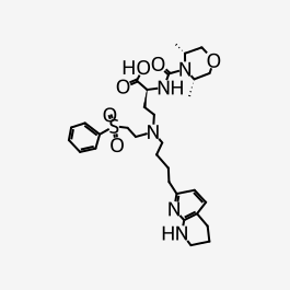 C[C@@H]1COC[C@H](C)N1C(=O)N[C@@H](CCN(CCCCc1ccc2c(n1)NCCC2)CCS(=O)(=O)c1ccccc1)C(=O)O